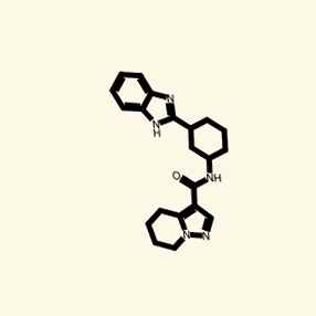 O=C(NC1CCCC(c2nc3ccccc3[nH]2)C1)c1cnn2c1CCCC2